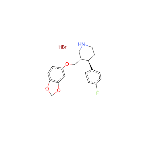 Br.Fc1ccc([C@@H]2CCNC[C@H]2COc2ccc3c(c2)OCO3)cc1